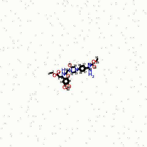 CCOC(=O)CC(NC(=O)CN1CCN(c2ccc(/C(N)=N/C(=O)OCC)cc2)CC1=O)c1ccc2c(c1)OCO2